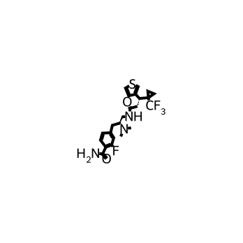 CN(C)[C@H](CNC(=O)C[C@H](c1ccsc1)C1(C(F)(F)F)CC1)Cc1ccc(C(N)=O)c(F)c1